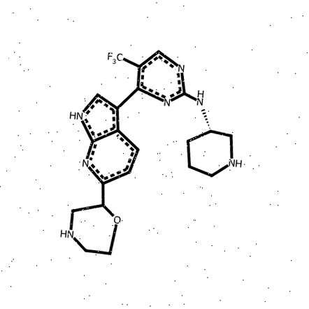 FC(F)(F)c1cnc(N[C@H]2CCCNC2)nc1-c1c[nH]c2nc(C3CNCCO3)ccc12